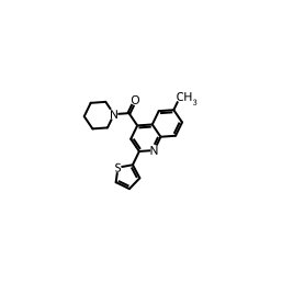 Cc1ccc2nc(-c3cccs3)cc(C(=O)N3CCCCC3)c2c1